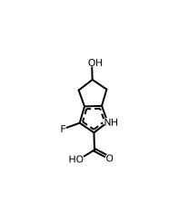 O=C(O)c1[nH]c2c(c1F)CC(O)C2